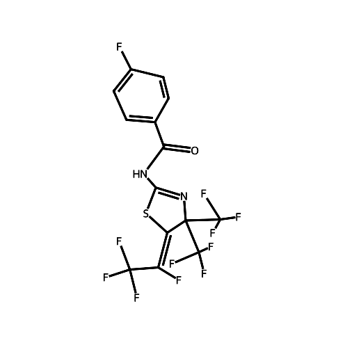 O=C(NC1=NC(C(F)(F)F)(C(F)(F)F)C(=C(F)C(F)(F)F)S1)c1ccc(F)cc1